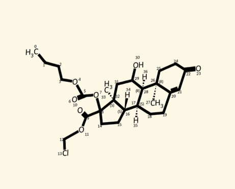 CCCCOC(=O)OC1(C(=O)OCCl)CC[C@H]2[C@@H]3CCC4=CC(=O)CC[C@]4(C)[C@@H]3C(O)C[C@@]21C